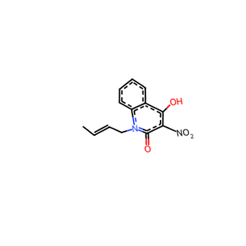 CC=CCn1c(=O)c([N+](=O)[O-])c(O)c2ccccc21